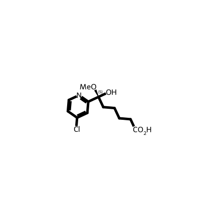 CO[C@@](O)(CCCCC(=O)O)c1cc(Cl)ccn1